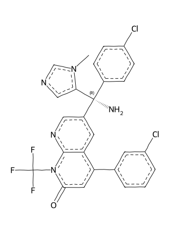 Cn1cncc1[C@@](N)(c1ccc(Cl)cc1)c1cnc2c(c1)c(-c1cccc(Cl)c1)cc(=O)n2C(F)(F)F